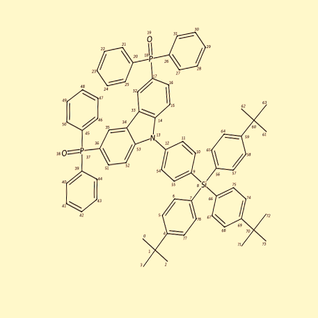 CC(C)(C)c1ccc([Si](c2ccc(-n3c4ccc(P(=O)(c5ccccc5)c5ccccc5)cc4c4cc(P(=O)(c5ccccc5)c5ccccc5)ccc43)cc2)(c2ccc(C(C)(C)C)cc2)c2ccc(C(C)(C)C)cc2)cc1